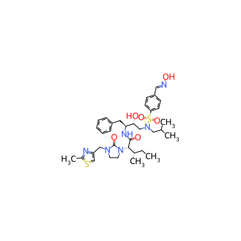 CC[C@H](C)[C@@H](C(=O)N[C@@H](Cc1ccccc1)[C@H](O)CN(CC(C)C)S(=O)(=O)c1ccc(/C=N/O)cc1)N1CCN(Cc2csc(C)n2)C1=O